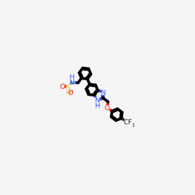 O=[SH](=O)NCc1ccccc1-c1ccc2[nH]c(COc3ccc(C(F)(F)F)cc3)nc2c1